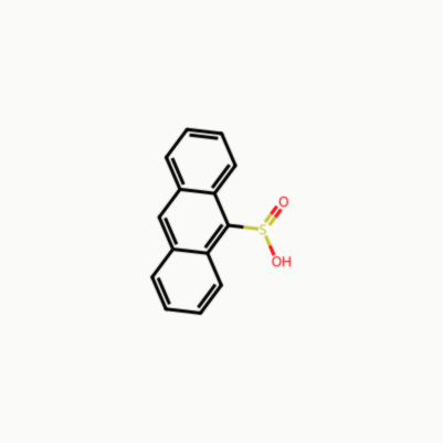 O=S(O)c1c2ccccc2cc2ccccc12